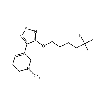 CC(F)(F)CCCCOc1nsnc1C1=CCCN(C(F)(F)F)C1